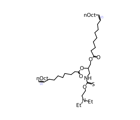 CCCCCCCC/C=C\CCCCCCCC(=O)OCC(CNC(=S)OCCN(CC)CC)OC(=O)CCCCCCC/C=C\CCCCCCCC